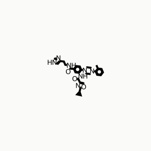 Cc1ccccc1N1CCN(c2ccc(C(=O)NCCc3c[nH]cn3)cc2NC(=O)c2coc(C3CC3)n2)CC1